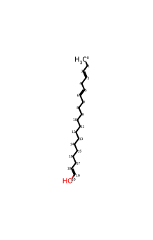 CCC=CCC=CCCCCCCCCCCCC=CO